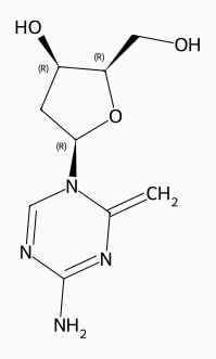 C=C1N=C(N)N=CN1[C@H]1C[C@@H](O)[C@@H](CO)O1